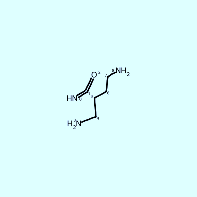 N=C=O.NCCCCN